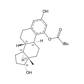 CC(C)(C)C(=O)Oc1cc(O)cc2c1[C@H]1CC[C@]3(C)[C@H](O)CC[C@H]3[C@@H]1CC2